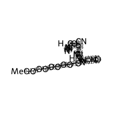 COCCOCCOCCOCCOCCOCCOCCOCCCOc1nn([C@H]2CC[C@H](N3CCOCC3)CC2)cc1Nc1ncc(-c2ccc(C#N)c(O[C@@H](C)Cn3cncn3)c2)cn1